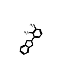 Nc1cccc(C2Cc3ccccc3C2)c1N